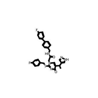 CC(c1cn[nH]c1)c1cn(CC(=O)NCc2ccc(-c3ccc(F)cc3)cc2)c(SCc2ccc(F)cc2)nc1=O